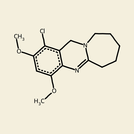 COc1cc(OC)c2c(c1Cl)CN1CCCCCC1=N2